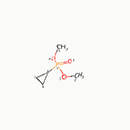 COP(=O)(OC)C1CC1